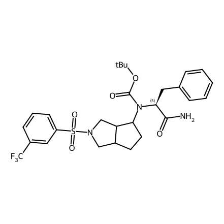 CC(C)(C)OC(=O)N(C1CCC2CN(S(=O)(=O)c3cccc(C(F)(F)F)c3)CC21)[C@@H](Cc1ccccc1)C(N)=O